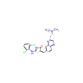 CN(C)CCc1cnc2ccc(C=C3SC(Nc4c(Cl)cccc4Cl)=NC3=O)cc2n1